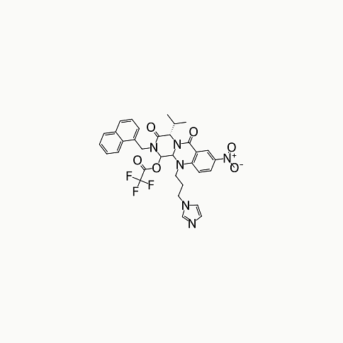 CC(C)[C@H]1C(=O)N(Cc2cccc3ccccc23)C(OC(=O)C(F)(F)F)C2N(CCCn3ccnc3)c3ccc([N+](=O)[O-])cc3C(=O)N21